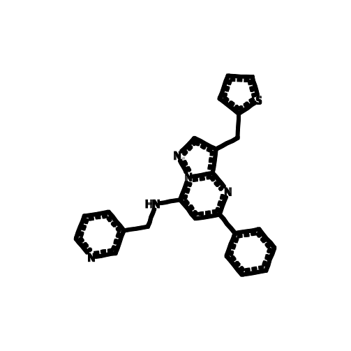 c1ccc(-c2cc(NCc3cccnc3)n3ncc(Cc4cccs4)c3n2)cc1